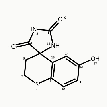 O=C1NC(=O)C2(CCSc3ccc(O)cc32)N1